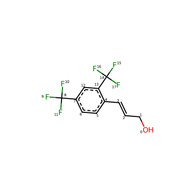 OCC=Cc1ccc(C(F)(F)F)cc1C(F)(F)F